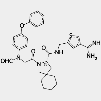 N=C(N)c1csc(CNC(=O)[C@@H]2CC3(CCCCC3)CN2C(=O)CN(C=O)c2ccc(Oc3ccccc3)cc2)c1